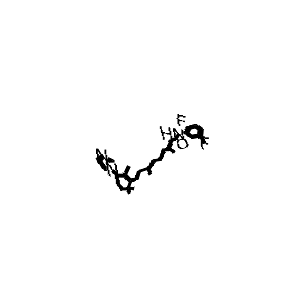 CC1=C(/C=C/C(C)=C/C=C/C(C)=C/C(=O)Nc2cc(F)ccc2F)C(C)(C)CCC1n1ccnc1